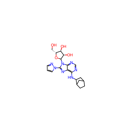 OC[C@H]1OC(n2c(-n3cccn3)nc3c(NC4CC5CCC4C5)ncnc32)[C@H](O)[C@@H]1O